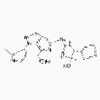 Cc1cc(-n2ncc3cc(NC(=O)NC(c4ccccc4)C(C)(C)O)nc(CO)c32)ccn1